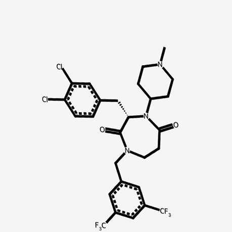 CN1CCC(N2C(=O)CCN(Cc3cc(C(F)(F)F)cc(C(F)(F)F)c3)C(=O)[C@@H]2Cc2ccc(Cl)c(Cl)c2)CC1